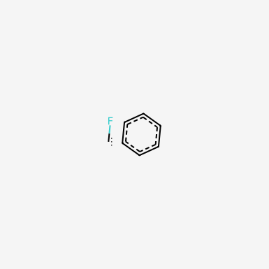 [C]F.c1ccccc1